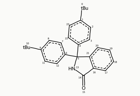 CC(C)(C)c1ccc(C2(c3ccc(C(C)(C)C)cc3)NC(=O)c3ccccc32)cc1